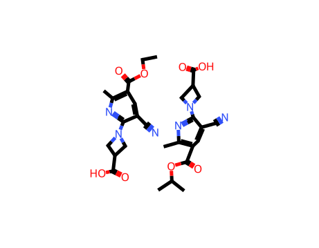 CCOC(=O)c1cc(C#N)c(N2CC(C(=O)O)C2)nc1C.Cc1nc(N2CC(C(=O)O)C2)c(C#N)cc1C(=O)OC(C)C